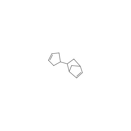 C1=CCC(C2CC3C=CC2C3)C1